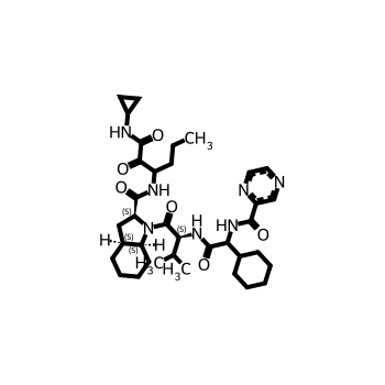 CCCC(NC(=O)[C@@H]1C[C@@H]2CCCC[C@@H]2N1C(=O)[C@@H](NC(=O)C(NC(=O)c1cnccn1)C1CCCCC1)C(C)C)C(=O)C(=O)NC1CC1